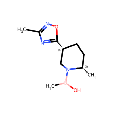 CB(O)N1C[C@H](c2nc(C)no2)CC[C@@H]1C